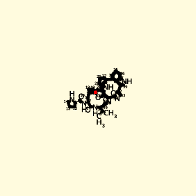 CC(C)C1NC(=O)[C@@H](NC(=O)[C@@H]2CCCN2)Cc2ccc3c(c2)[C@]24c5cccc(c5NC2O3)-c2cccc3[nH]cc(c23)-c2cnc(o2)-c2nc1oc24